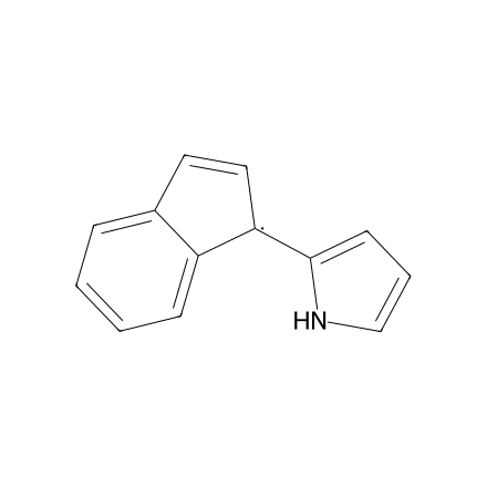 C1=Cc2ccccc2[C]1c1ccc[nH]1